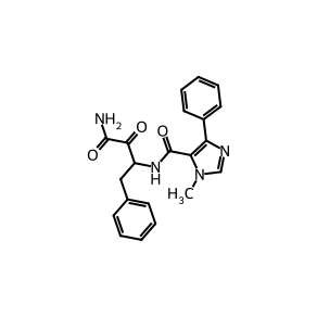 Cn1cnc(-c2ccccc2)c1C(=O)NC(Cc1ccccc1)C(=O)C(N)=O